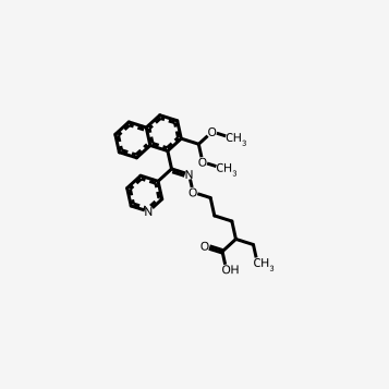 CCC(CCCO/N=C(\c1cccnc1)c1c(C(OC)OC)ccc2ccccc12)C(=O)O